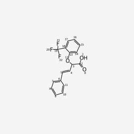 O=C(O)C(C=Cc1ccccc1)Oc1ccccc1C(F)(F)F